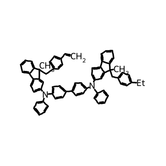 C=Cc1ccc(CC2(C)c3ccccc3-c3ccc(N(c4ccccc4)c4ccc(-c5ccc(N(c6ccccc6)c6ccc7c(c6)C(C)(Cc6ccc(CC)cc6)c6ccccc6-7)cc5)cc4)cc32)cc1